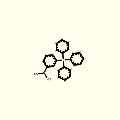 OB(O)c1ccc[c]([Ge]([c]2ccccc2)([c]2ccccc2)[c]2ccccc2)c1